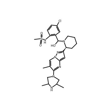 Cc1cn2nc([C@@H]3CCCCN3C(O)c3cc(Cl)ccc3NS(C)(=O)=O)cc2nc1N1CC(C)NC(C)C1